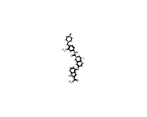 C[C@H]1CN(C(=O)Nc2ccc(CN3CCN(C)CC3)c(C(F)(F)F)c2)Cc2cc(Oc3ccnc4[nH]c(C(N)=O)cc34)cnc21